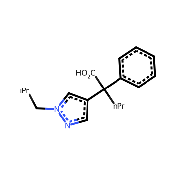 CCCC(C(=O)O)(c1ccccc1)c1cnn(CC(C)C)c1